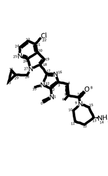 C=Nc1c(/C=C(\C)C(=O)N2CCC[C@@H](N)C2)nc(-c2cc3c(Cl)ccnc3n2CC2CC2)n1C